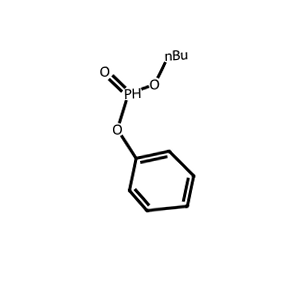 CCCCO[PH](=O)Oc1ccccc1